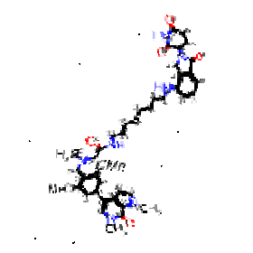 COc1cc(-c2cn(C)c(=O)c3c2ccn3C)cc(OC)c1CN(C)CC(=O)NCCCCCCCCNc1cccc2c1CN(C1CCC(=O)NC1=O)C2=O